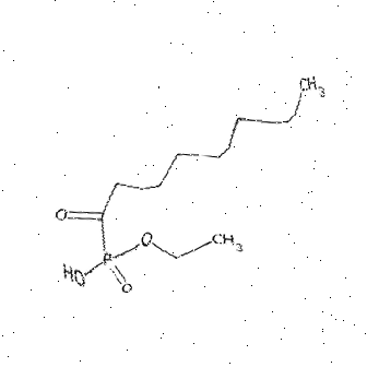 CCCCCCCC(=O)P(=O)(O)OCC